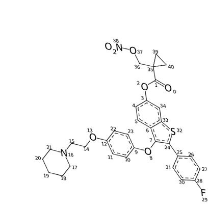 O=C(Oc1ccc2c(Oc3ccc(OCCN4CCCCC4)cc3)c(-c3ccc(F)cc3)sc2c1)C1(CO[N+](=O)[O-])CC1